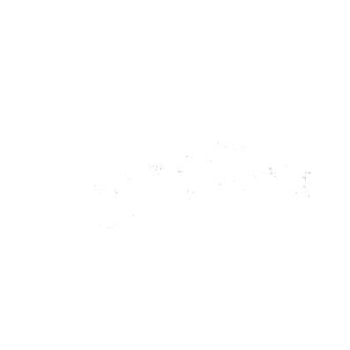 Cc1cccc(CCNC(=O)Oc2ccc(-n3cccc3)cc2)c1